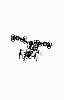 CC(O[Si](C)(C)C(C)(C)C)[C@@H]1C(=O)N[C@@H]1[C@@H](C)C(=S)[C@H]1C[C@@H](C(=O)N2CCN(CCOC(=O)OCc3ccc([N+](=O)[O-])cc3)CC2)N(C(=O)OCc2ccc([N+](=O)[O-])cc2)C1